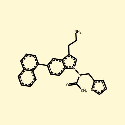 CC(=O)N(Cc1cccs1)n1cc(CCN)c2cc(-c3cccc4ccccc34)ccc21